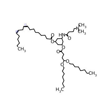 CCCCC/C=C\C/C=C\CCCCCCCC(=O)OC1CC(NC(=O)CCCN(C)C)CC(OC(=O)CCC(OCCCCCCCC)OCCCCCCCC)C1